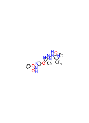 CCn1cc(C(F)(F)F)cc(Nc2nc3ncc(Oc4ccnc(NC(=O)Oc5ccccc5)c4)c(C#N)c3n2C)c1=O